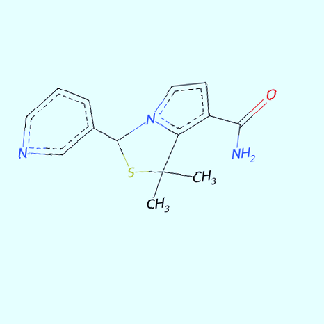 CC1(C)SC(c2cccnc2)n2ccc(C(N)=O)c21